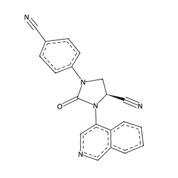 N#Cc1ccc(N2C[C@@H](C#N)N(c3cncc4ccccc34)C2=O)cc1